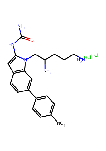 Cl.Cl.NCCCC(N)Cn1c(NC(N)=O)cc2ccc(-c3ccc([N+](=O)[O-])cc3)cc21